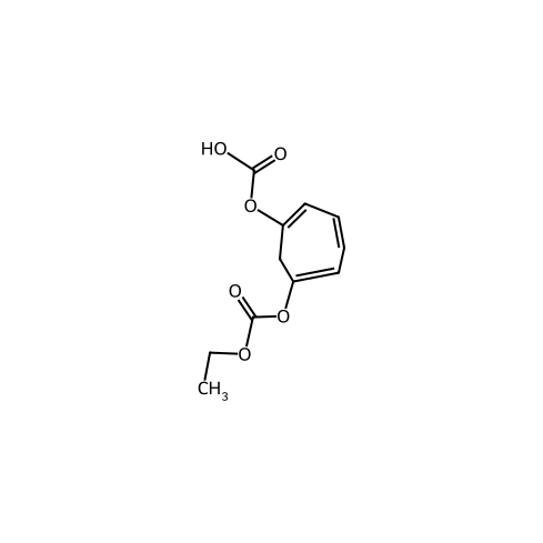 CCOC(=O)OC1=CC=CC=C(OC(=O)O)C1